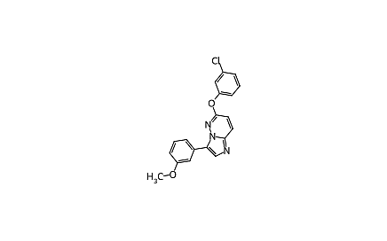 COc1cccc(-c2cnc3ccc(Oc4cccc(Cl)c4)nn23)c1